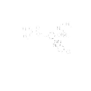 C=C(C)C(=O)OCCc1cc(CN(CC)CC)c(O)c(-n2nc3ccc(Cl)cc3n2)c1